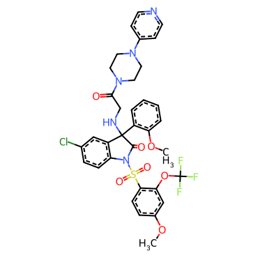 COc1ccc(S(=O)(=O)N2C(=O)C(NCC(=O)N3CCN(c4ccncc4)CC3)(c3ccccc3OC)c3cc(Cl)ccc32)c(OC(F)(F)F)c1